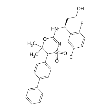 CC1(C)OC(N[C@@H](CCO)c2cc(Cl)ccc2F)=NS(=O)(=O)C1c1ccc(-c2ccccc2)cc1